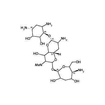 CNC1C(O[C@H]2OC(CO)[C@@H](N)C(O)CC2O)O[C@H]2CC(N)[C@@H](O[C@@H]3C(N)C[C@@H](N)C(O)C3O)OC2C1O